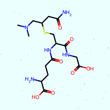 CN(C)CC(CC(N)=O)SCC(NC(=O)CCC(N)C(=O)O)C(=O)NCC(=O)O